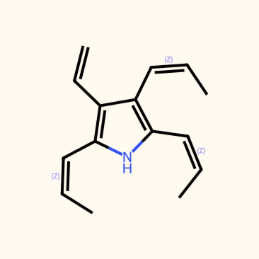 C=Cc1c(/C=C\C)[nH]c(/C=C\C)c1/C=C\C